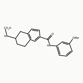 COc1cccc(NC(=O)c2ccc3c(c2)CCC(NC(=O)O)C3)c1